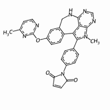 Cc1ccnc(Oc2ccc3c(c2)CNc2ncnc4c2c-3c(-c2ccc(N3C(=O)C=CC3=O)cc2)n4C)n1